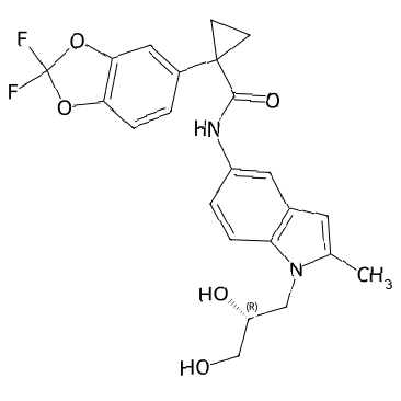 Cc1cc2cc(NC(=O)C3(c4ccc5c(c4)OC(F)(F)O5)CC3)ccc2n1C[C@@H](O)CO